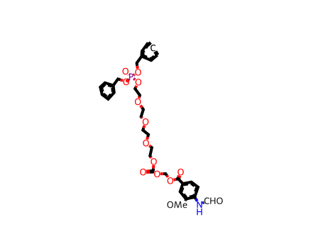 COc1cc(C(=O)OCOC(=O)OCCOCCOCCOCCOP(=O)(OCc2ccccc2)OCc2ccccc2)ccc1NC=O